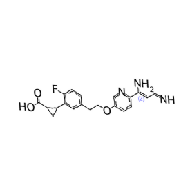 N=C/C=C(\N)c1ccc(OCCc2ccc(F)c(C3CC3C(=O)O)c2)cn1